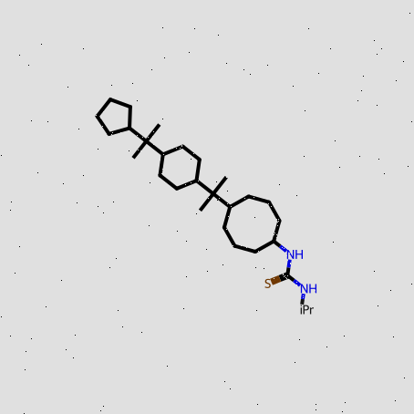 CC(C)NC(=S)NC1CCCC(C(C)(C)C2CCC(C(C)(C)C3CCCC3)CC2)CCC1